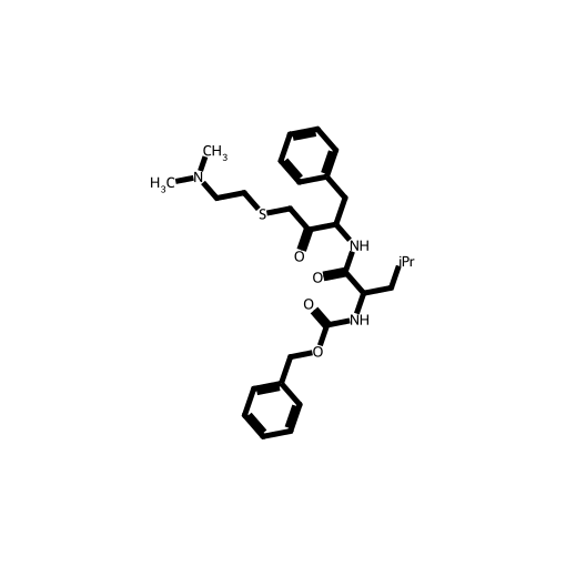 CC(C)CC(NC(=O)OCc1ccccc1)C(=O)NC(Cc1ccccc1)C(=O)CSCCN(C)C